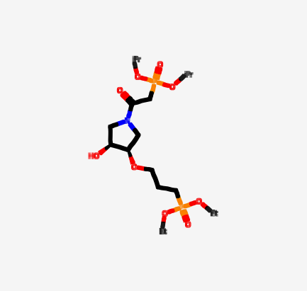 CCOP(=O)(CCCO[C@@H]1CN(C(=O)CP(=O)(OC(C)C)OC(C)C)C[C@@H]1O)OCC